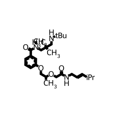 CC(C)/C=C/CNC(=O)COC(C)COc1cccc(C(=O)N(C)CC(C)(C)CNC(C)(C)C)c1